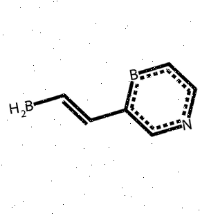 BC=Cc1bccnc1